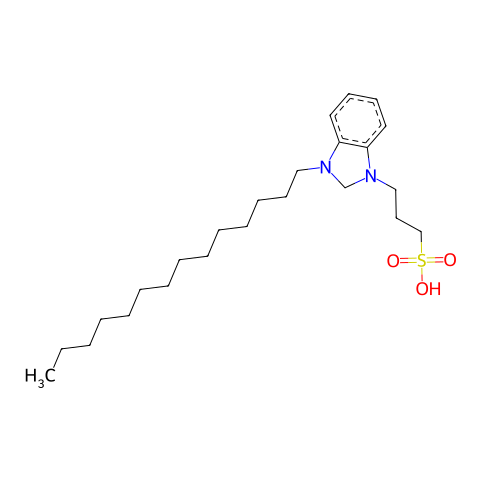 CCCCCCCCCCCCCCN1CN(CCCS(=O)(=O)O)c2ccccc21